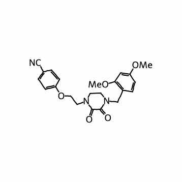 COc1ccc(CN2CCN(CCOc3ccc(C#N)cc3)C(=O)C2=O)c(OC)c1